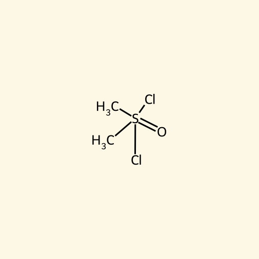 CS(C)(=O)(Cl)Cl